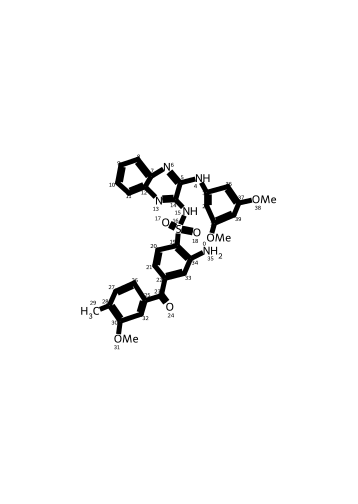 COc1cc(Nc2nc3ccccc3nc2NS(=O)(=O)c2ccc(C(=O)c3ccc(C)c(OC)c3)cc2N)cc(OC)c1